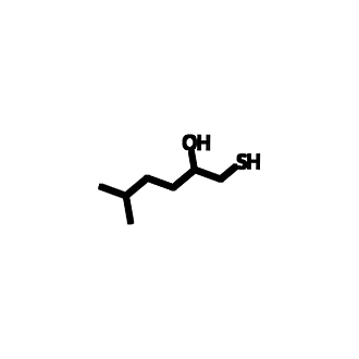 CC(C)CCC(O)CS